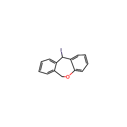 IC1c2ccccc2COc2ccccc21